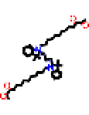 CC1(C)C(/C=C/C=C2/N(CCCCCCCCCCC(=O)C3CO3)c3ccccc3C2(C)C)=[N+](CCCCCCCCCCC(=O)C2CO2)c2ccccc21